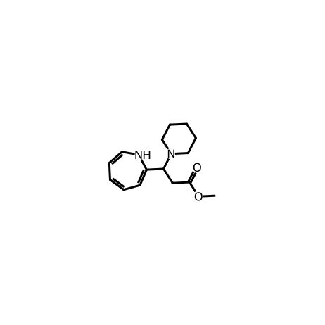 COC(=O)CC(C1=CC=CC=CN1)N1CCCCC1